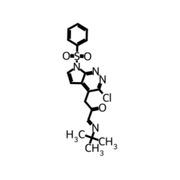 CC(C)(C)N=CC(=O)Cc1c(Cl)nnc2c1ccn2S(=O)(=O)c1ccccc1